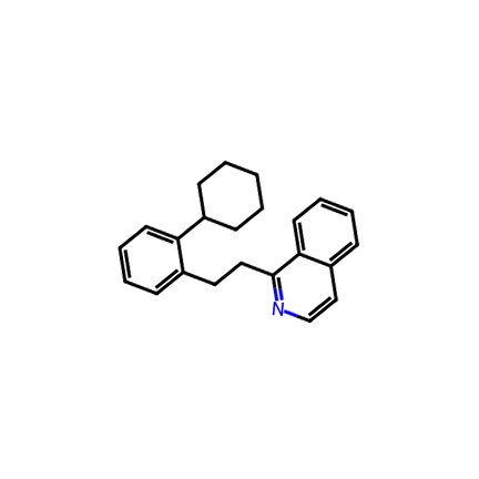 c1ccc(C2CCCCC2)c(CCc2nccc3ccccc23)c1